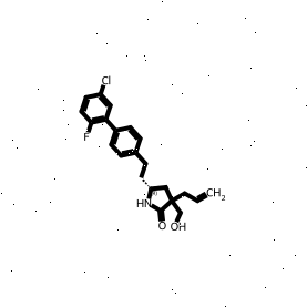 C=CCC1(CO)C[C@@H](CCc2ccc(-c3cc(Cl)ccc3F)cc2)NC1=O